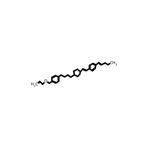 C=CCOCc1ccc(CCCCC2CCC(C=Cc3ccc(/C=C/CCC)cc3)CC2)cc1